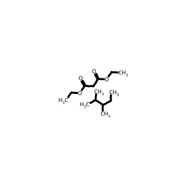 CCC(C)C(C)C.CCOC(=O)CC(=O)OCC